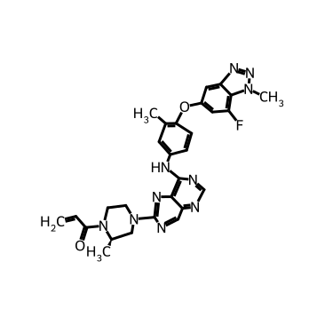 C=CC(=O)N1CCN(c2ncc3ncnc(Nc4ccc(Oc5cc(F)c6c(c5)nnn6C)c(C)c4)c3n2)C[C@H]1C